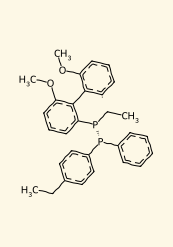 CCc1ccc([P@@](c2ccccc2)P(CC)c2cccc(OC)c2-c2[c]cccc2OC)cc1